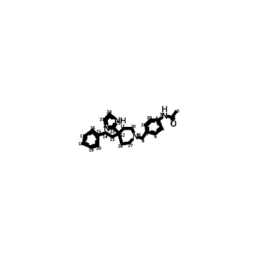 CC(=O)Nc1ccc(CN2CCC(CCc3ccccc3)(c3ncc[nH]3)CC2)cc1